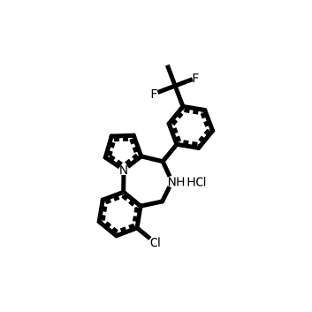 CC(F)(F)c1cccc(C2NCc3c(Cl)cccc3-n3cccc32)c1.Cl